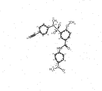 COc1ccc(C(=O)Nc2ccc([S+](C)[O-])cc2)cc1S(=O)(=O)N(C)c1ccc(C#N)cc1